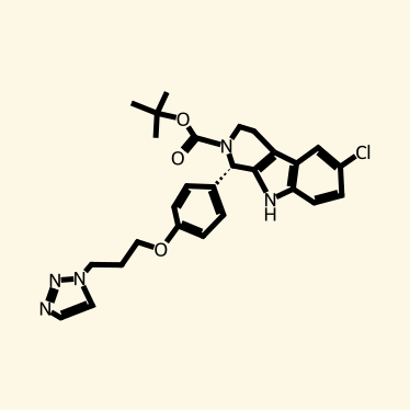 CC(C)(C)OC(=O)N1CCc2c([nH]c3ccc(Cl)cc23)[C@@H]1c1ccc(OCCCn2ccnn2)cc1